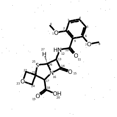 COc1cccc(OC)c1C(=O)NC1C(=O)N2C(C(=O)O)C3(COC3)S[C@@H]12